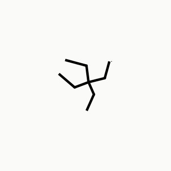 [CH2]CC(CC)(CC)CC